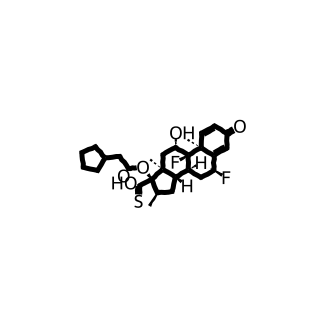 C[C@@H]1C[C@H]2[C@@H]3C[C@H](F)C4=CC(=O)C=C[C@]4(C)[C@@]3(F)[C@@H](O)C[C@]2(C)[C@@]1(OC(=O)CC1CCCC1)C(O)=S